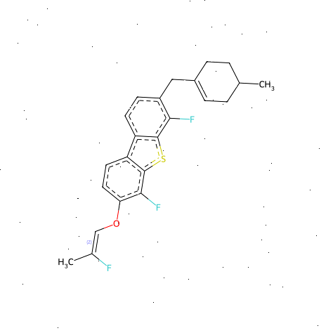 C/C(F)=C/Oc1ccc2c(sc3c(F)c(CC4=CCC(C)CC4)ccc32)c1F